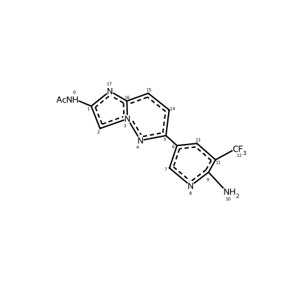 CC(=O)Nc1cn2nc(-c3cnc(N)c(C(F)(F)F)c3)ccc2n1